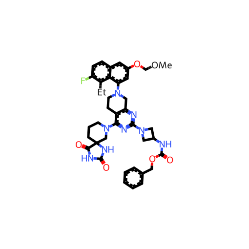 CCc1c(F)ccc2cc(OCOC)cc(N3CCc4c(nc(N5CC(NC(=O)OCc6ccccc6)C5)nc4N4CCCC5(C4)NC(=O)NC5=O)C3)c12